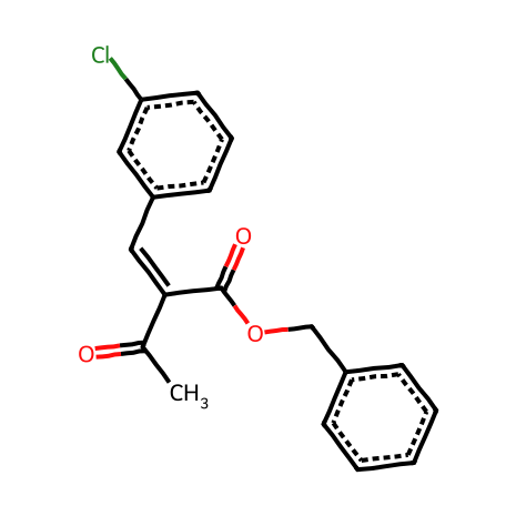 CC(=O)/C(=C/c1cccc(Cl)c1)C(=O)OCc1ccccc1